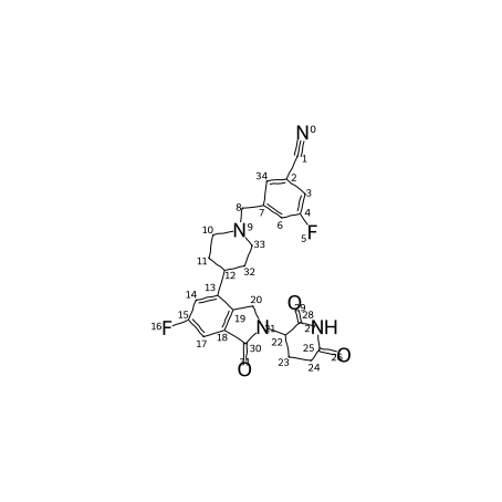 N#Cc1cc(F)cc(CN2CCC(c3cc(F)cc4c3CN(C3CCC(=O)NC3=O)C4=O)CC2)c1